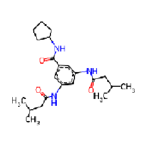 CC(C)CC(=O)Nc1cc(NC(=O)CC(C)C)cc(C(=O)NC2CCCC2)c1